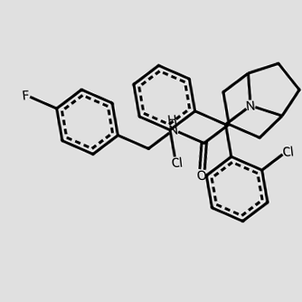 O=C(NCc1ccc(F)cc1)C1CC2CCC(C1)N2C(c1ccccc1Cl)c1ccccc1Cl